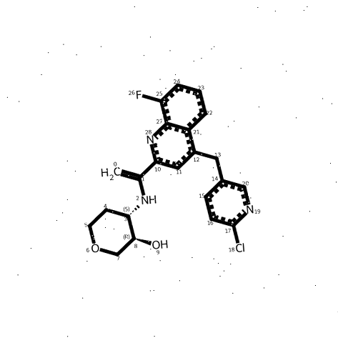 C=C(N[C@H]1CCOC[C@@H]1O)c1cc(Cc2ccc(Cl)nc2)c2cccc(F)c2n1